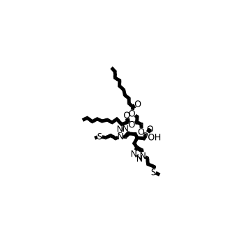 CCCCCCCCCC(=O)OCC(COP(=O)(O)CC(Cc1cn(CCCSC)nn1)Cc1cn(CCCSC)nn1)OC(=O)CCCCCCCCC